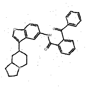 O=C(Nc1ccc2occ(C3CCN4CCCC4C3)c2c1)c1ccccc1C(=O)c1ccccc1